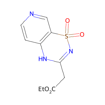 CCOC(=O)CC1=NS(=O)(=O)c2cnccc2N1